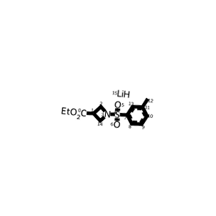 CCOC(=O)C1CN(S(=O)(=O)c2cccc(C)c2)C1.[LiH]